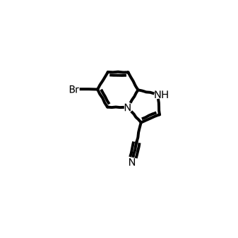 N#CC1=CNC2C=CC(Br)=CN12